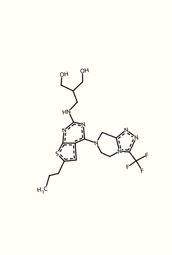 CCCc1cc2c(N3CCn4c(nnc4C(F)(F)F)C3)nc(NCC(CO)CO)nc2s1